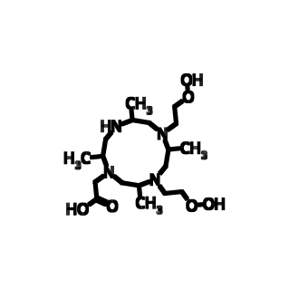 CC1CN(CCOO)C(C)CN(CCOO)C(C)CN(CC(=O)O)C(C)CN1